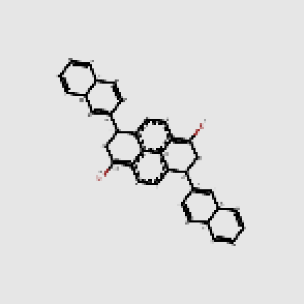 BrC1=c2ccc3c4c(ccc(c24)C(C2=CC4C=CC=CC4C=C2)C1)=C(Br)CC3C1=CC2C=CC=CC2C=C1